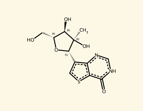 C[C@@]1(O)[C@H](O)[C@@H](CO)O[C@H]1c1csc2c(=O)[nH]cnc12